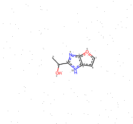 CC(O)c1nc2occc2[nH]1